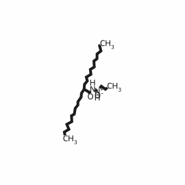 CCCCCCCCCCCCC(CCCCCCCCCCCC)C(=O)N[NH+]([O-])CCC